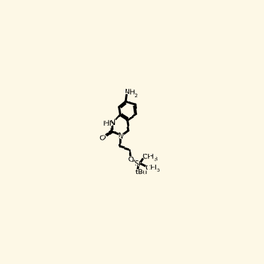 CC(C)(C)[Si](C)(C)OCCN1Cc2ccc(N)cc2NC1=O